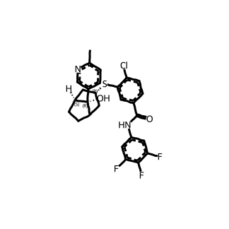 Cc1ccc([C@@]2(O)C3CC[C@H]2C[C@H](Sc2cc(C(=O)Nc4cc(F)c(F)c(F)c4)ccc2Cl)C3)cn1